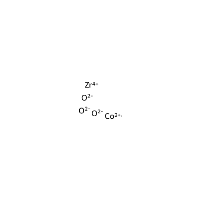 [Co+2].[O-2].[O-2].[O-2].[Zr+4]